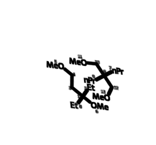 CCC(CC)(CCOC)OC.CCCC(CCC)(COC)COC